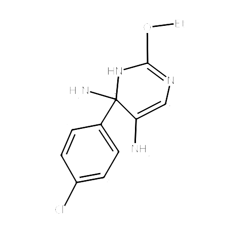 CCOC1=NC=C(N)C(N)(c2ccc(Cl)cc2)N1